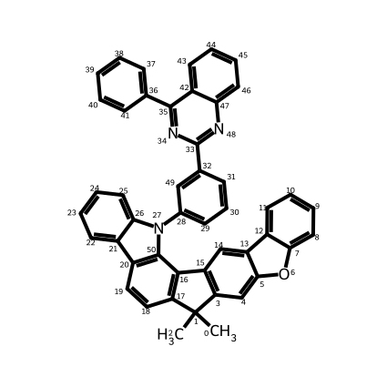 CC1(C)c2cc3oc4ccccc4c3cc2-c2c1ccc1c3ccccc3n(-c3cccc(-c4nc(-c5ccccc5)c5ccccc5n4)c3)c21